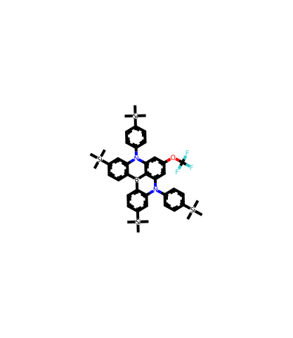 C[Si](C)(C)c1ccc(N2c3cc([Si](C)(C)C)ccc3B3c4ccc([Si](C)(C)C)cc4N(c4ccc([Si](C)(C)C)cc4)c4cc(OC(F)(F)F)cc2c43)cc1